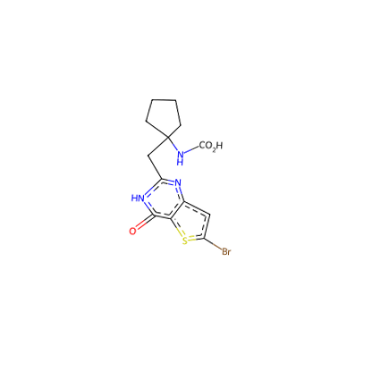 O=C(O)NC1(Cc2nc3cc(Br)sc3c(=O)[nH]2)CCCC1